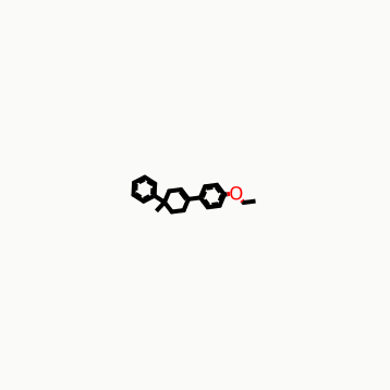 CCOc1ccc(C2=CCC(C)(c3ccccc3)CC2)cc1